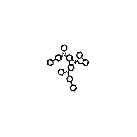 C1=CCCC(c2ccc(N(C3=CC=CCC3)c3ccc4c(c3)c3cc(N(c5ccc(-c6ccccc6)cc5)C5C=CC=CC5)ccc3n4-c3cc4ccccc4c4ccccc34)cc2)=C1